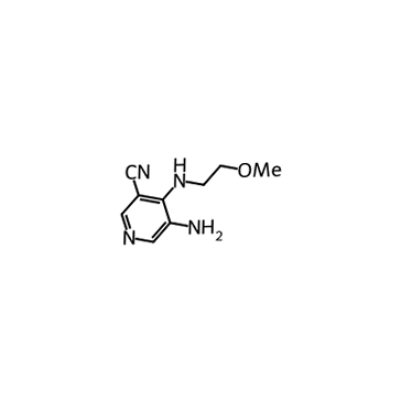 COCCNc1c(N)cncc1C#N